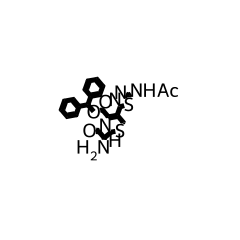 CC(=O)Nc1nnc(C2=C(C(=O)OC(c3ccccc3)c3ccccc3)N3C(=O)C(N)[C@@H]3SC2)s1